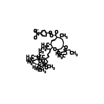 CCC(O[Si](CC)(CC)CC)C(C)C1OC1CC(C)(/C=C/C=C(\C)C1OC(=O)CC(O[Si](CC)(CC)CC)CCC(C)C(C(=O)OOc2ccc([N+](=O)[O-])cc2)/C=C/C1C)O[Si](CC)(CC)CC